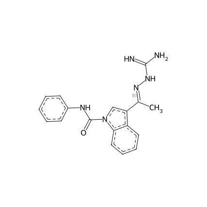 C/C(=N\NC(=N)N)c1cn(C(=O)Nc2ccccc2)c2ccccc12